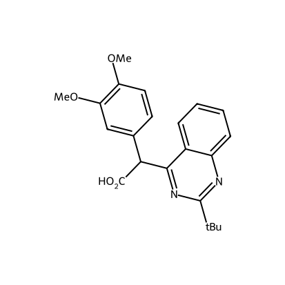 COc1ccc(C(C(=O)O)c2nc(C(C)(C)C)nc3ccccc23)cc1OC